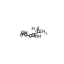 C=CCC(CC)CCc1cc2cc(-c3ccc(C(=O)O)cc3)ccc2cc1O